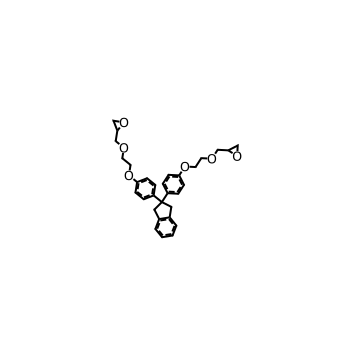 c1ccc2c(c1)CC(c1ccc(OCCOCC3CO3)cc1)(c1ccc(OCCOCC3CO3)cc1)C2